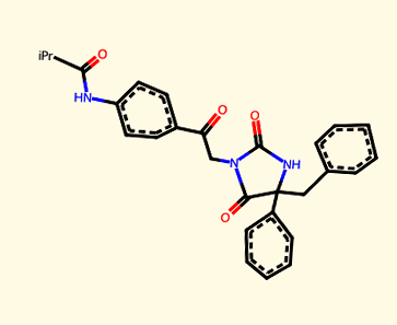 CC(C)C(=O)Nc1ccc(C(=O)CN2C(=O)NC(Cc3ccccc3)(c3ccccc3)C2=O)cc1